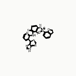 O=S(=O)(Nc1ccc(F)c(Nc2ncccc2-c2ncnc3[nH]cnc23)c1F)c1cccc2c1OCC2